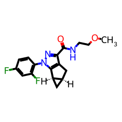 COCCNC(=O)c1nn(-c2ccc(F)cc2F)c2c1C[C@H]1C[C@@H]21